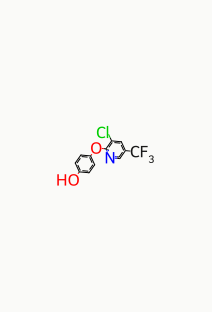 Oc1ccc(Oc2ncc(C(F)(F)F)cc2Cl)cc1